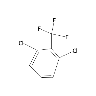 FC(F)(F)c1c(Cl)cccc1Cl